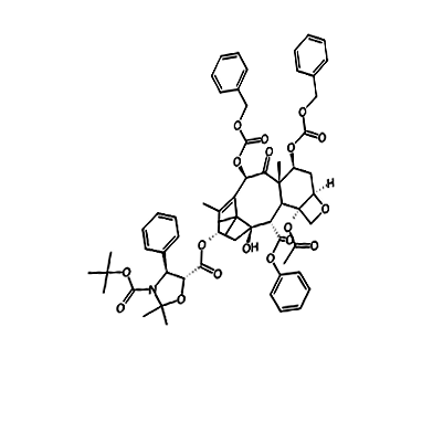 CC(=O)O[C@@]12CO[C@@H]1C[C@H](OC(=O)OCc1ccccc1)[C@@]1(C)C(=O)[C@H](OC(=O)OCc3ccccc3)C3=C(C)[C@@H](OC(=O)[C@@H]4OC(C)(C)N(C(=O)OC(C)(C)C)[C@H]4c4ccccc4)C[C@@](O)([C@@H](C(=O)Oc4ccccc4)C12)C3(C)C